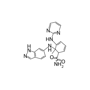 CC1(Nc2ccc3cn[nH]c3c2)C(Nc2ncccn2)=CC=CC1S(N)(=O)=O